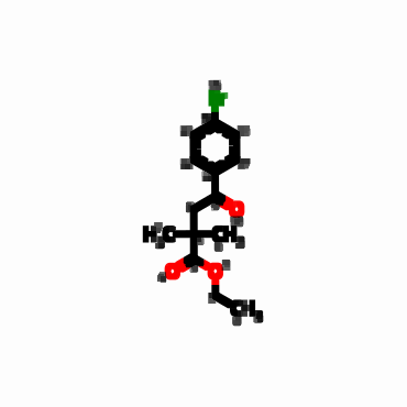 CCOC(=O)C(C)(C)CC(=O)c1ccc(Br)cc1